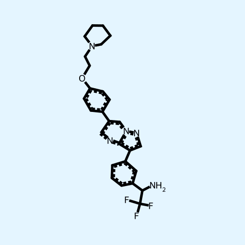 NC(c1cccc(-c2cnn3cc(-c4ccc(OCCN5CCCCC5)cc4)cnc23)c1)C(F)(F)F